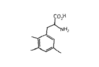 Cc1cc(C)c(C)c(CC(N)C(=O)O)c1